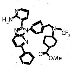 COC(=O)C1CCC(N(Cc2ccc(-n3c(-c4cccnc4N)nc4ccc(-c5ccccc5)nc43)cc2)CC(F)(F)F)CC1